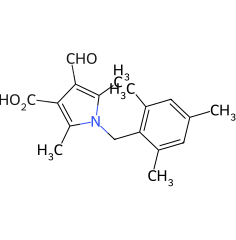 Cc1cc(C)c(Cn2c(C)c(C=O)c(C(=O)O)c2C)c(C)c1